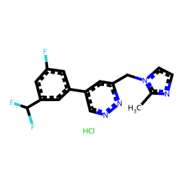 Cc1nccn1Cc1cc(-c2cc(F)cc(C(F)F)c2)cnn1.Cl